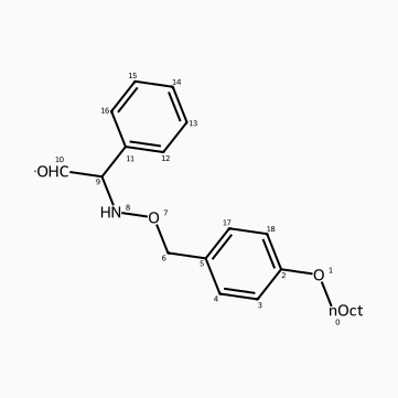 CCCCCCCCOc1ccc(CONC([C]=O)c2ccccc2)cc1